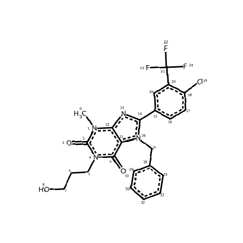 Cn1c(=O)n(CCCO)c(=O)c2c1nc(-c1ccc(Cl)c(C(F)(F)F)c1)n2Cc1ccccc1